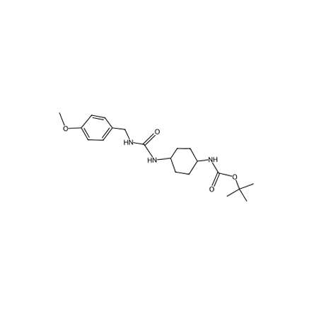 COc1ccc(CNC(=O)NC2CCC(NC(=O)OC(C)(C)C)CC2)cc1